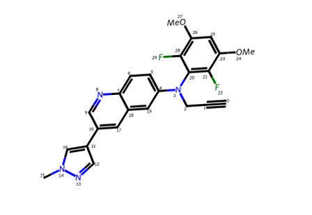 C#CCN(c1ccc2ncc(-c3cnn(C)c3)cc2c1)c1c(F)c(OC)cc(OC)c1F